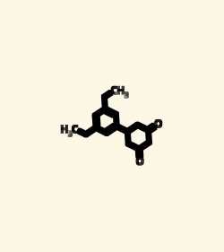 CCc1cc(CC)cc(C2CC(=O)CC(=O)C2)c1